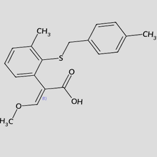 CO/C=C(/C(=O)O)c1cccc(C)c1SCc1ccc(C)cc1